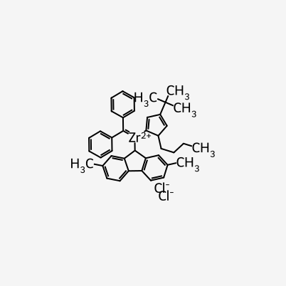 CCCCC1C=C(C(C)(C)C)C=[C]1[Zr+2](=[C](c1ccccc1)c1ccccc1)[CH]1c2cc(C)ccc2-c2ccc(C)cc21.[Cl-].[Cl-]